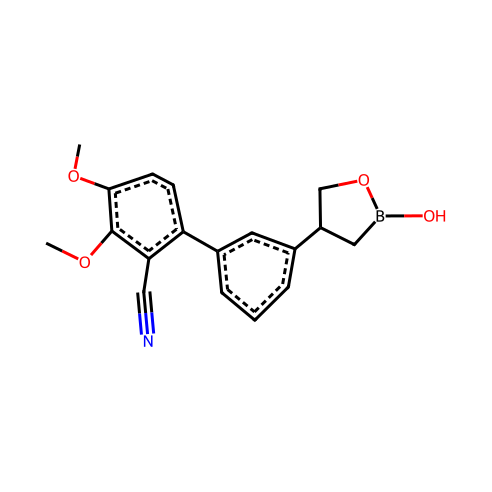 COc1ccc(-c2cccc(C3COB(O)C3)c2)c(C#N)c1OC